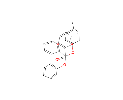 Cc1ccc([O][Ti](=[O])([O]c2ccccc2)([c]2ccccc2)[c]2ccccc2)cc1